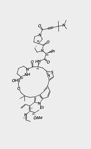 C=C/C(=C(\N=C/C)[C@H](C)OC)c1c2c3cc(ccc3n1CC)-c1csc(n1)C[C@H](NC(=O)[C@H](C(C)C)N1CC[C@@]3(CCN(C(=O)C#CC(C)(C)N(C)C)C3)C1=O)C(=O)N1CCC[C@](C=O)(COCC(C)(C)C2)N1